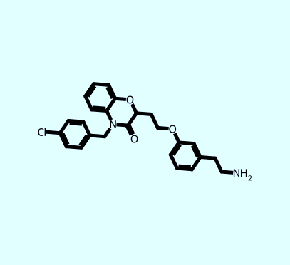 NCCc1cccc(OCCC2Oc3ccccc3N(Cc3ccc(Cl)cc3)C2=O)c1